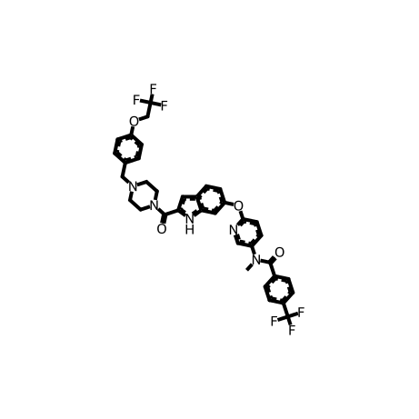 CN(C(=O)c1ccc(C(F)(F)F)cc1)c1ccc(Oc2ccc3cc(C(=O)N4CCN(Cc5ccc(OCC(F)(F)F)cc5)CC4)[nH]c3c2)nc1